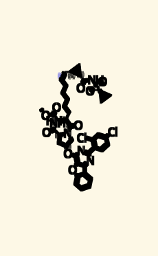 COC(=O)N[C@@H](CCCCC/C=C\[C@@H]1C[C@@H]1C(=O)NS(=O)(=O)C1CC1)C(=O)N1C[C@H](Oc2nc(-c3ccc(Cl)cc3Cl)nc3c2oc2ccccc23)C[C@H]1C(N)=O